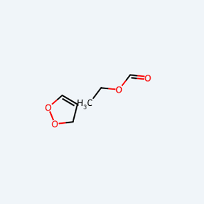 C1=COOC1.CCOC=O